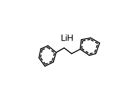 [LiH].c1ccc(CCc2ccccc2)cc1